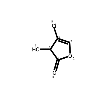 O=C1OC=C(Cl)C1O